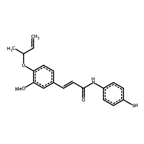 C=CC(C)Oc1ccc(/C=C/C(=O)Nc2ccc(S)cc2)cc1OC